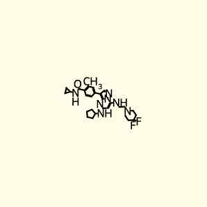 Cc1cc(-c2cnn3c(NCCN4CCC(F)(F)CC4)cc(NC4CCCC4)nc23)ccc1C(=O)NC1CC1